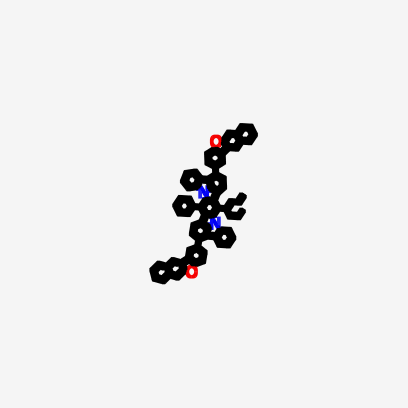 C=C/C=C(\C=C/C)c1c2c3ccc(-c4ccc5oc6cc7ccccc7cc6c5c4)c4c5ccccc5n(c2c(-c2ccccc2)c2c5ccc(-c6ccc7oc8cc9ccccc9cc8c7c6)c6c7ccccc7n(c12)c56)c34